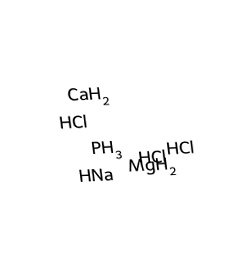 Cl.Cl.Cl.P.[CaH2].[MgH2].[NaH]